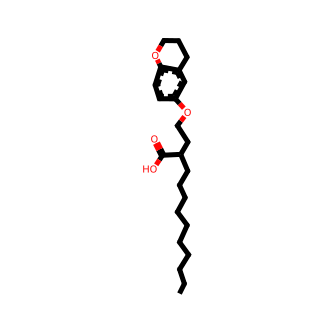 CCCCCCCCCCC(CCOc1ccc2c(c1)CCCO2)C(=O)O